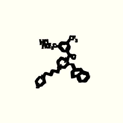 Cl.Cl.O=C(c1cc(C(F)(F)F)cc(C(F)(F)F)c1)N1CCN(C/C=C/CN2CCSCC2)C[C@H]1Cc1ccc2ccccc2c1